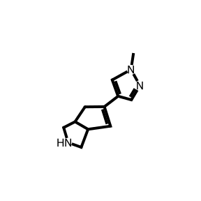 Cn1cc(C2=CC3CNCC3C2)cn1